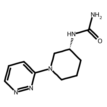 NC(=O)N[C@@H]1CCCN(c2cccnn2)C1